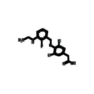 CCNc1cccc(COc2c(Cl)cc(CC(=O)O)cc2Cl)c1F